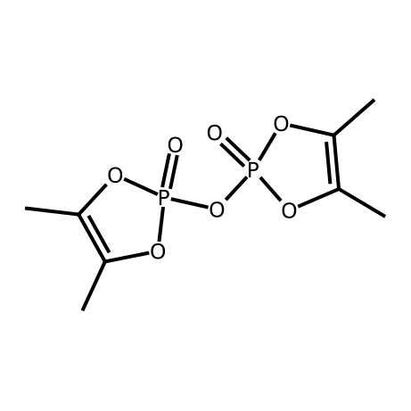 CC1=C(C)OP(=O)(OP2(=O)OC(C)=C(C)O2)O1